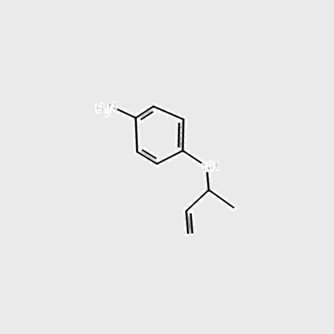 C=CC(C)Nc1ccc(N)cc1